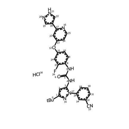 CC(C)(C)c1cc(NC(=O)Nc2ccc(Oc3ccnc(-c4cn[nH]c4)c3)cc2F)n(-c2cccc(C#N)c2)n1.Cl